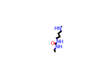 CCNC(=O)NCCCCNC